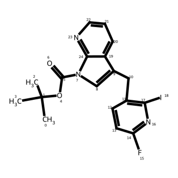 CC(C)(C)OC(=O)n1cc(Cc2ccc(F)nc2I)c2cccnc21